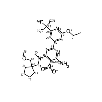 CCOc1cc(-c2cc(N(C)CC3(COC)CCCC3)c([N+](=O)[O-])c(N)n2)cc(C(F)(F)F)n1